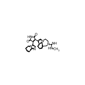 CNC(=N)N1CCn2cc(C3=C(c4cnc5ccccn45)C(=O)NC3=O)c3cccc(c32)C1